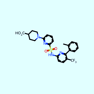 Cc1ccccc1-c1nc(NS(=O)(=O)c2cccc(N3CCC(C(=O)O)CC3)n2)ccc1C(F)(F)F